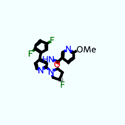 COc1ccc(C(=O)Nc2c(-c3cc(F)ccc3F)ccnc2N2CC[C@H](F)C2)cn1